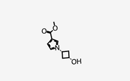 COC(=O)c1ccn([C@H]2C[C@@H](O)C2)c1